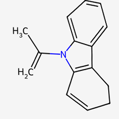 C=C(C)n1c2c(c3ccccc31)CCC=C2